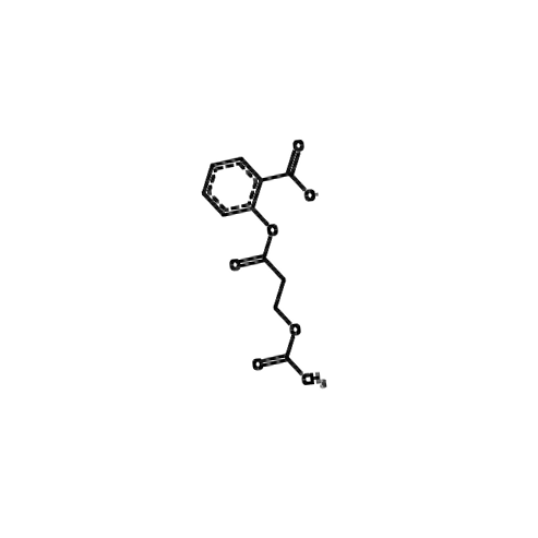 CC(=O)OCCC(=O)Oc1ccccc1C([O])=O